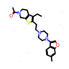 CCc1c(CCN2CCN(c3coc4cc(C)ccc34)CC2)sc2c1CCN(C(C)=O)C2